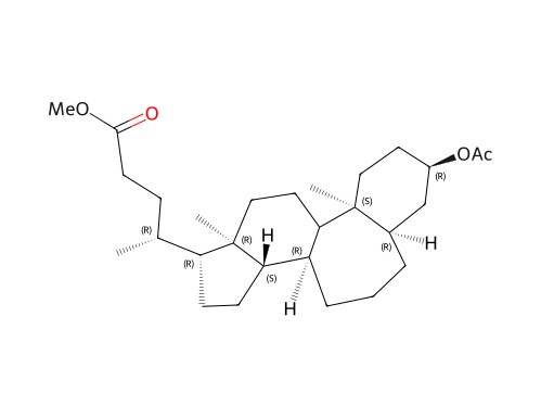 COC(=O)CC[C@@H](C)[C@H]1CC[C@H]2[C@@H]3CCC[C@@H]4C[C@H](OC(C)=O)CC[C@]4(C)C3CC[C@]12C